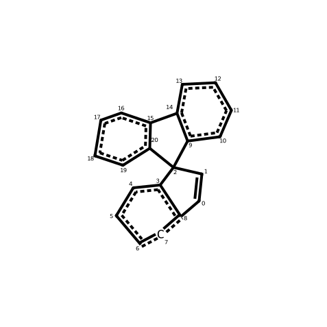 C1=CC2(c3ccccc31)c1ccccc1-c1ccccc12